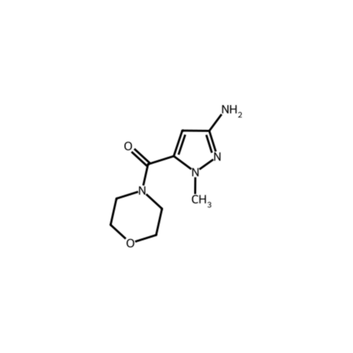 Cn1nc(N)cc1C(=O)N1CCOCC1